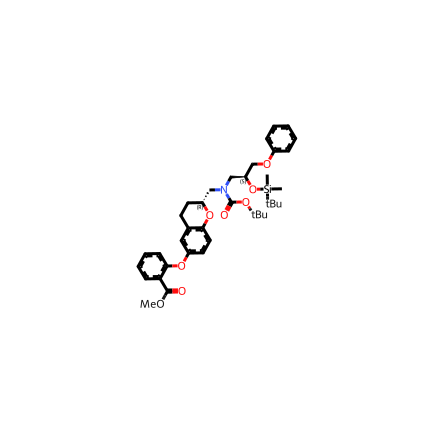 COC(=O)c1ccccc1Oc1ccc2c(c1)CC[C@H](CN(C[C@@H](COc1ccccc1)O[Si](C)(C)C(C)(C)C)C(=O)OC(C)(C)C)O2